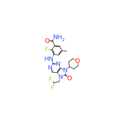 Cc1cc(Nc2ncc3c(n2)n(C2CCOCC2)c(=O)n3CC(F)F)c(F)c(C(N)=O)c1